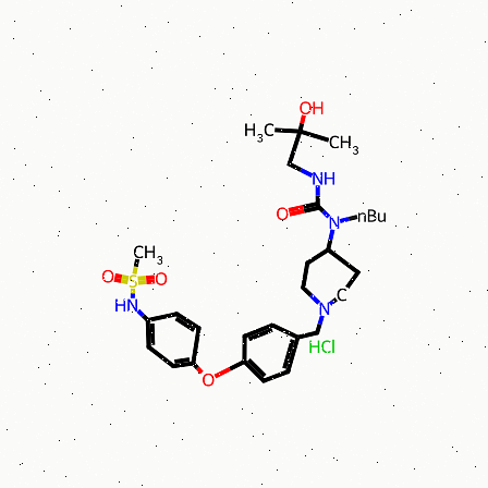 CCCCN(C(=O)NCC(C)(C)O)C1CCN(Cc2ccc(Oc3ccc(NS(C)(=O)=O)cc3)cc2)CC1.Cl